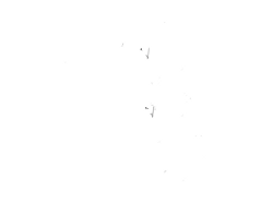 Cc1ccc(-c2ccccc2)n1Cc1csc(-c2ccccc2)n1